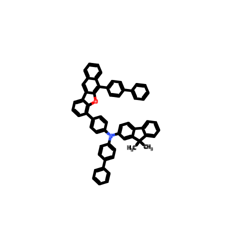 CC1(C)c2ccccc2-c2ccc(N(c3ccc(-c4ccccc4)cc3)c3ccc(-c4cccc5c4oc4c(-c6ccc(-c7ccccc7)cc6)c6ccccc6cc45)cc3)cc21